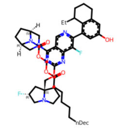 CCCCCCCCCCCCCCCC(=O)OCOC(=O)N1[C@@H]2CC[C@H]1CN(c1nc(OC[C@@]34CCCN3C[C@H](F)C4)nc3c(F)c(-c4cc(O)cc5c4C(CC)CCC5)ncc13)C2